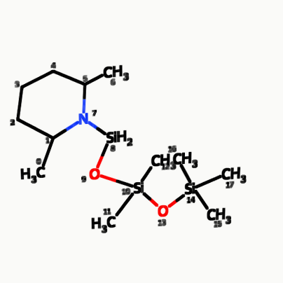 CC1CCCC(C)N1[SiH2]O[Si](C)(C)O[Si](C)(C)C